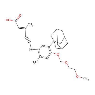 COCCOCOc1cc(C)c([Se]C#C/C(C)=C/C(=O)O)cc1C12CC3CC(CC(C3)C1)C2